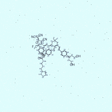 CC1(C)CC(/C=C/c2ccc(N(CCO)CCO)cc2)=C(Sc2ccc(C(C)(C)C)cc2)C(=C/C=C/C2=C(C#N)C(=C(C#N)C#N)OC2(c2ccc(OC(=O)CCCCC3CCCS3)cc2)C(F)(F)F)/C1